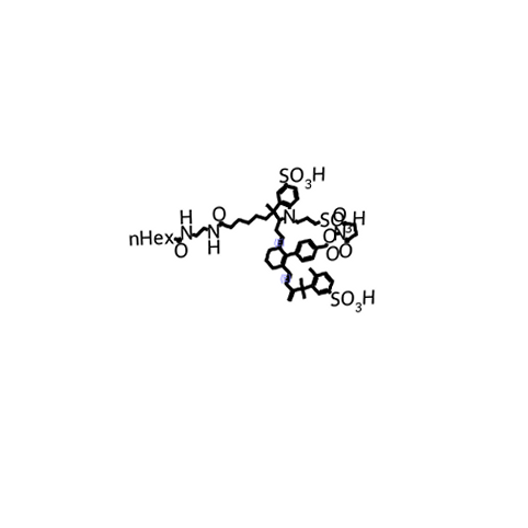 C=C(/C=C/C1=C(c2ccc(C(=O)ON3C(=O)CCC3=O)cc2)C(=C/CC2N(CCCS(=O)(=O)O)c3ccc(S(=O)(=O)O)cc3C2(C)CCCCCC(=O)NCCNC(=O)CCCCCC)/CCC1)C(C)(C)c1cc(S(=O)(=O)O)ccc1C